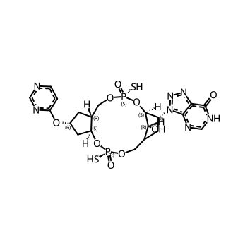 O=c1[nH]cnc2c1nnn2[C@@H]1CC2CO[P@@](=O)(S)O[C@H]3C[C@H](Oc4ccncn4)C[C@@H]3CO[P@](=O)(S)O[C@@H]1[C@@H]2O